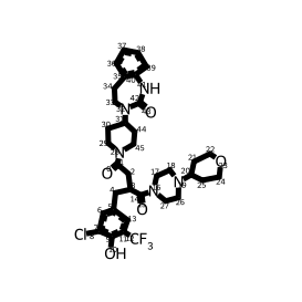 O=C(CC(Cc1cc(Cl)c(O)c(C(F)(F)F)c1)C(=O)N1CCN(C2CCOCC2)CC1)N1CCC(N2CCc3ccccc3NC2=O)CC1